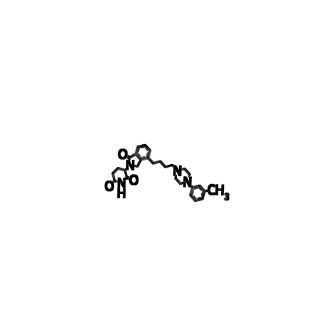 Cc1cccc(N2CCN(CCCCc3cccc4c3CN(C3CCC(=O)NC3=O)C4=O)CC2)c1